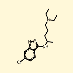 CCN(CC)CCCC(C)Nc1snc2cc(Cl)ccc12